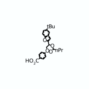 CCCC(=O)OC(COc1ccc(C(=O)O)cc1)c1cc2cc(C(C)(C)C)ccc2o1